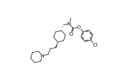 CN(C[C@H]1CC[C@H](CCCN2CCCCC2)CC1)C(=O)Oc1ccc(Cl)cc1